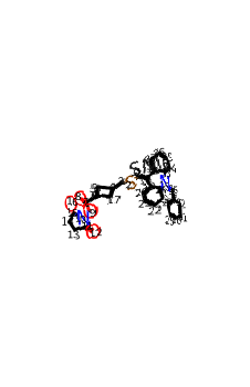 CSC(SCC1CC(C(=O)ON2C(=O)CCC2=O)C1)=C1c2ccccc2N(Cc2ccccc2)c2ccccc21